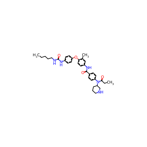 CCCCCNC(=O)Nc1ccc(Oc2ccc(NC(=O)c3ccc(N(C(=O)CC)C4CCCNC4)cc3)cc2C)cc1